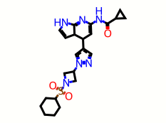 O=C(NC1=CC(c2cnn(C3CN(S(=O)(=O)C4CCCCC4)C3)c2)C2C=CNC2=N1)C1CC1